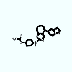 CC(F)O[C@H]1CC[C@H](Nc2ncc3c(n2)CCCC=C3c2ccn3nccc3c2)CC1